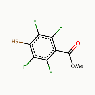 COC(=O)c1c(F)c(F)c(S)c(F)c1F